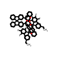 C=Cc1ccc(C2(c3c(F)c(F)c(F)c(F)c3F)c3ccccc3-c3ccc(N(c4ccccc4)c4ccc5c(c4)C4(c6ccccc6-5)c5ccccc5-c5ccc(N(c6ccccc6)c6ccc7c(c6)C(c6ccc(C=C)cc6)(c6c(F)c(F)c(F)c(F)c6F)c6ccccc6-7)cc54)cc32)cc1